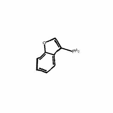 Pc1coc2ccccc12